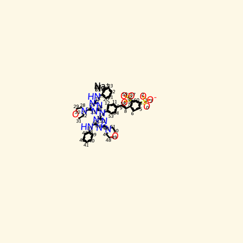 O=S(=O)([O-])c1ccc(C=Cc2ccc(N(c3nc(Nc4ccccc4)nc(N4CCOCC4)n3)c3nc(Nc4ccccc4)nc(N4CCOCC4)n3)cc2)c(S(=O)(=O)[O-])c1.[Na+].[Na+]